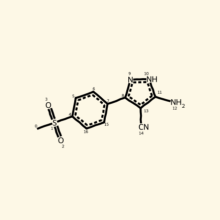 CS(=O)(=O)c1ccc(-c2n[nH]c(N)c2C#N)cc1